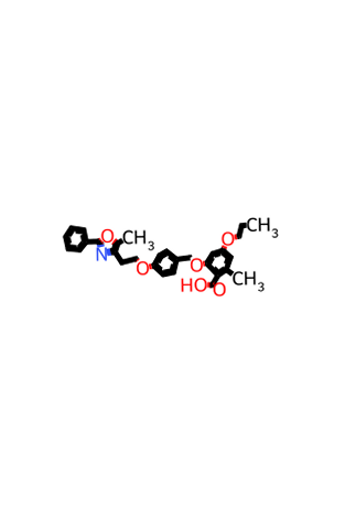 CCCOc1cc(C)c(C(=O)O)c(OCc2ccc(OCCc3nc(-c4ccccc4)oc3C)cc2)c1